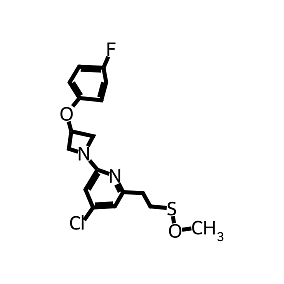 COSCCc1cc(Cl)cc(N2CC(Oc3ccc(F)cc3)C2)n1